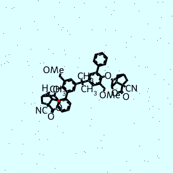 COCc1cc(C(C)(C)c2cc(COC)c(OC3C4OC(=O)C5(C#N)CC3[C@@H](C)C45)c(-c3ccccc3)c2)cc(-c2ccccc2)c1OC1C2CC3C1OC(=O)C3(C#N)C2